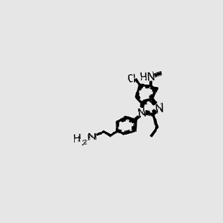 CCc1nc2cc(NC)c(Cl)cc2n1-c1ccc(CCN)cc1